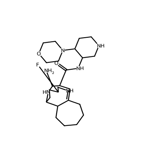 NC1NC2CCC(F)CNC(=C3CCCCCC32)C1C(=O)NC1CNCCC1N1CCOCC1